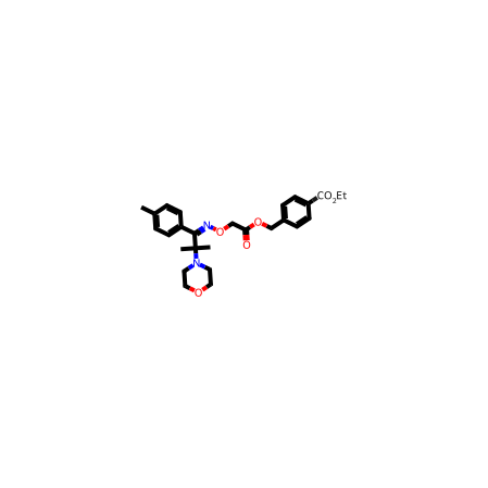 CCOC(=O)c1ccc(COC(=O)CO/N=C(/c2ccc(C)cc2)C(C)(C)N2CCOCC2)cc1